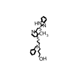 Cc1c(SCCN(CCCCO)Cc2ccccc2)ccnc1CSc1nc2ccccc2[nH]1